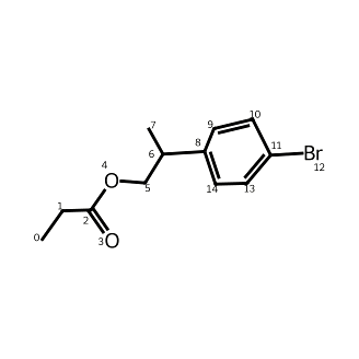 CCC(=O)OCC(C)c1ccc(Br)cc1